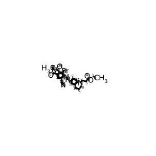 CCOC(=O)CCN1CCCc2cc(/N=N/c3c(C#N)cc4c(c3Br)C(=O)N(C)C4=O)ccc21